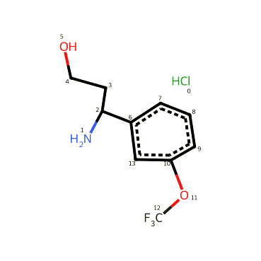 Cl.NC(CCO)c1cccc(OC(F)(F)F)c1